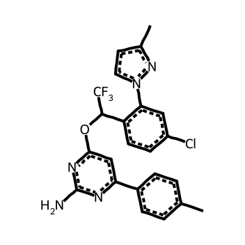 Cc1ccc(-c2cc(OC(c3ccc(Cl)cc3-n3ccc(C)n3)C(F)(F)F)nc(N)n2)cc1